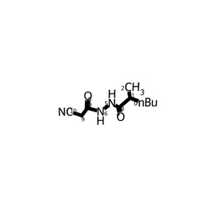 CCCCC(C)C(=O)NNC(=O)CC#N